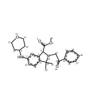 COC(=O)C1c2nc(NC3CCOCC3)ncc2C(C)(C)N1CC(=O)c1ccccc1